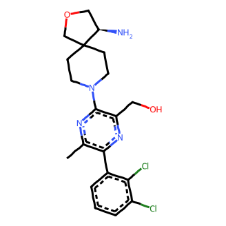 Cc1nc(N2CCC3(CC2)COC[C@H]3N)c(CO)nc1-c1cccc(Cl)c1Cl